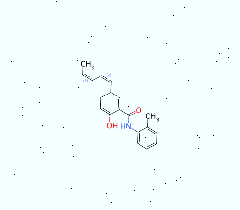 C/C=C\C=C/C1C=C(C(=O)Nc2ccccc2C)C(O)=CC1